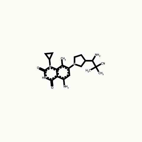 Cc1c(N2CCC(C(N)C(C)(C)C#N)C2)cc(N)c2c(=O)[nH]c(=O)n(C3CC3)c12